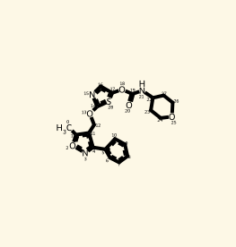 Cc1onc(-c2ccccc2)c1COc1ncc(OC(=O)NC2CCOCC2)s1